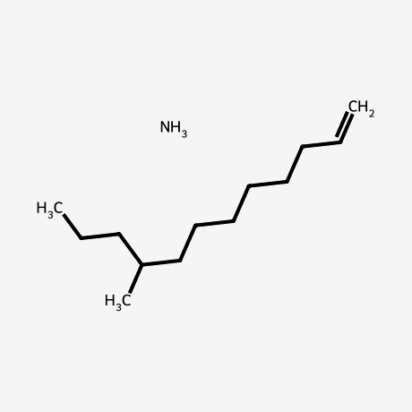 C=CCCCCCCC(C)CCC.N